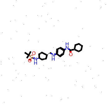 CC(C)(C)S(=O)(=O)N[C@H]1CC[C@H](CNc2ccc(NC(=O)C3CCCCC3)cc2)CC1